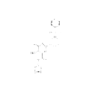 Cn1c(C2CCCN(S(=O)(=O)c3ccccc3)C2)nc(C(=O)Nc2cnoc2)c(O)c1=O